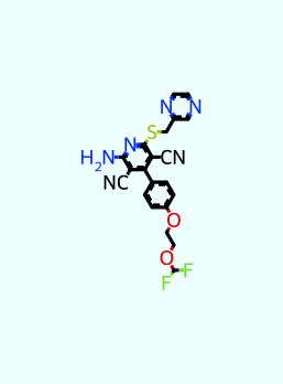 N#Cc1c(N)nc(SCc2cnccn2)c(C#N)c1-c1ccc(OCCOC(F)F)cc1